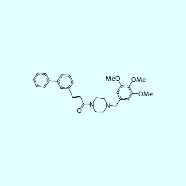 COc1cc(CN2CCN(C(=O)/C=C/c3cccc(-c4ccccc4)c3)CC2)cc(OC)c1OC